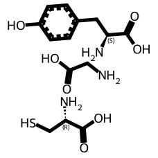 NCC(=O)O.N[C@@H](CS)C(=O)O.N[C@@H](Cc1ccc(O)cc1)C(=O)O